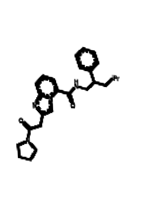 CC(C)CC(CNC(=O)c1cccc2nc(CC(=O)N3CCCC3)cn12)c1ccccc1